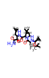 CC(C)(C)C(NC(OC(C)(C)C(F)(F)F)=C1CC1)C(=O)N1CC2C(C1C(=O)NC(CC1CC1)C(=O)C(N)=O)C2(C)C